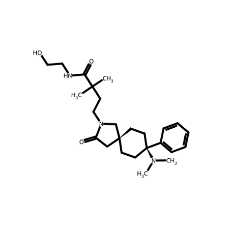 CN(C)[C@]1(c2ccccc2)CC[C@@]2(CC1)CC(=O)N(CCC(C)(C)C(=O)NCCO)C2